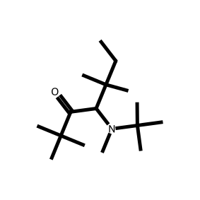 CCC(C)(C)C(C(=O)C(C)(C)C)N(C)C(C)(C)C